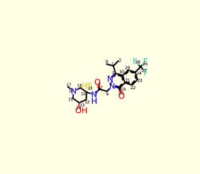 CC(C)c1nn(CC(=O)N[C@@]2(S)C[C@@H](O)CN(C)C2)c(=O)c2ccc(C(F)(F)F)cc12